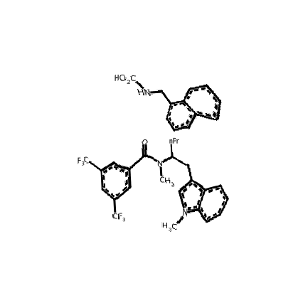 CCCC(Cc1cn(C)c2ccccc12)N(C)C(=O)c1cc(C(F)(F)F)cc(C(F)(F)F)c1.O=C(O)NCc1cccc2ccccc12